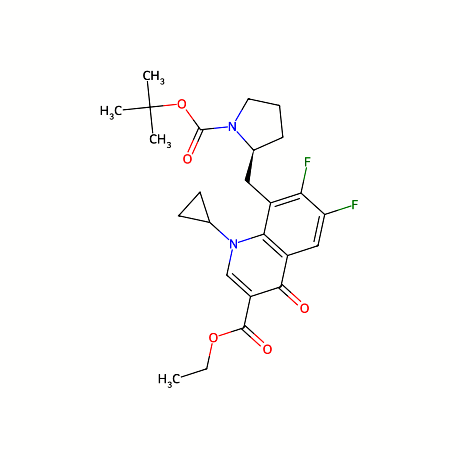 CCOC(=O)c1cn(C2CC2)c2c(C[C@@H]3CCCN3C(=O)OC(C)(C)C)c(F)c(F)cc2c1=O